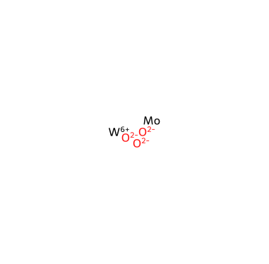 [Mo].[O-2].[O-2].[O-2].[W+6]